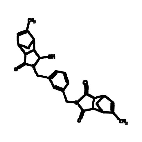 CC1=CC2CC1C1C(=O)N(Cc3cccc(CN4C(=O)C5C6C=C(C)C(C6)C5C4O)c3)C(=O)C21